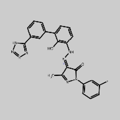 CC1=NN(c2cccc(F)c2)C(=O)/C1=N\Nc1cccc(-c2cccc(-c3nnn[nH]3)c2)c1O